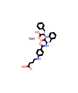 O=C(O)CCCNc1ccc(C(=O)N[C@@H](Cc2ccccc2)C(=O)N[C@@H](Cc2ccccc2)C(=O)O)cc1.[NaH]